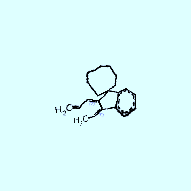 C=C/C=C1\C(=C/C)c2ccccc2C12CCCCCCC2